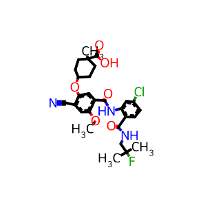 COc1cc(C#N)c(OC2CCC(C)(C(=O)O)CC2)cc1C(=O)Nc1cc(Cl)ccc1C(=O)NCC(C)(C)F